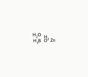 B.O.O.[Zn]